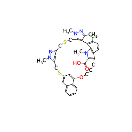 Cc1nn(C)c2c1-c1c(Cl)ccc3c(c(C(=O)O)n(C)c13)CCCOc1cc(cc3ccccc13)SCc1cc(nn1C)CSC2